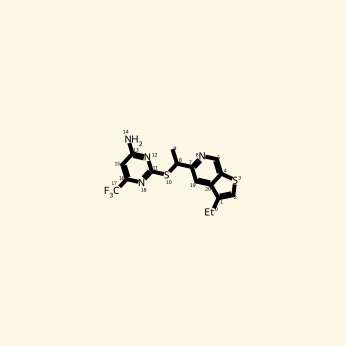 CCc1csc2cnc(C(C)Sc3nc(N)cc(C(F)(F)F)n3)cc12